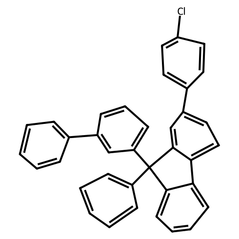 Clc1ccc(-c2ccc3c(c2)C(c2ccccc2)(c2cccc(-c4ccccc4)c2)c2ccccc2-3)cc1